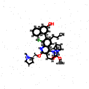 CN1CCC[C@H]1COc1nc2c(F)c(-c3cc(O)cc4ccccc34)c(CCC#N)cc2c2c1CCCN2C1C2CC1N(C(=O)OC(C)(C)C)C2